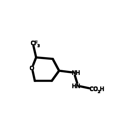 O=C(O)NNC1CCOC(C(F)(F)F)C1